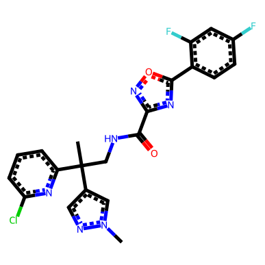 Cn1cc(C(C)(CNC(=O)c2noc(-c3ccc(F)cc3F)n2)c2cccc(Cl)n2)cn1